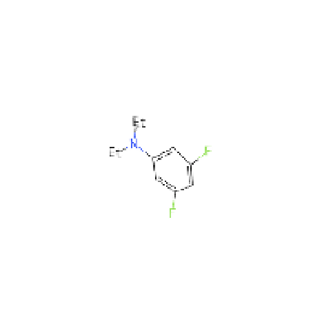 CCN(CC)c1cc(F)cc(F)c1